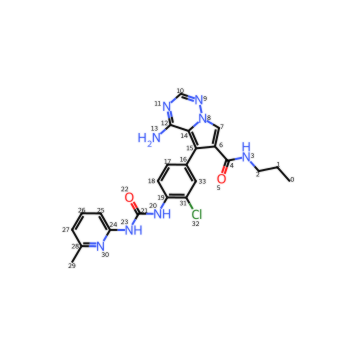 CCCNC(=O)c1cn2ncnc(N)c2c1-c1ccc(NC(=O)Nc2cccc(C)n2)c(Cl)c1